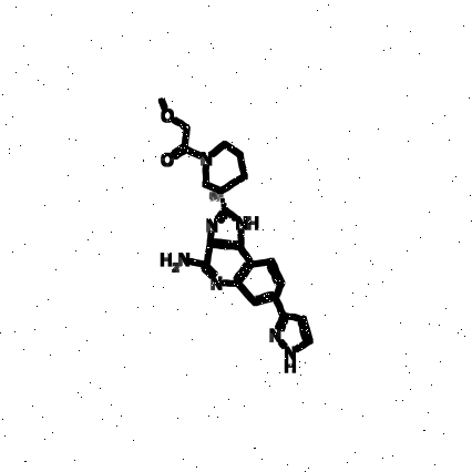 COCC(=O)N1CCC[C@H](c2nc3c(N)nc4cc(-c5cc[nH]n5)ccc4c3[nH]2)C1